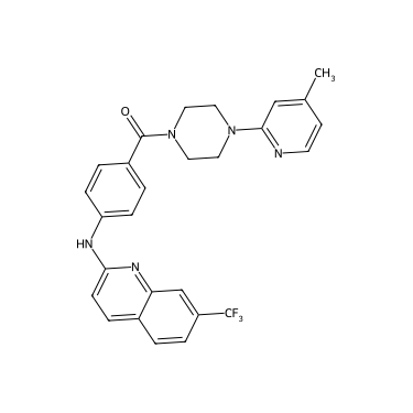 Cc1ccnc(N2CCN(C(=O)c3ccc(Nc4ccc5ccc(C(F)(F)F)cc5n4)cc3)CC2)c1